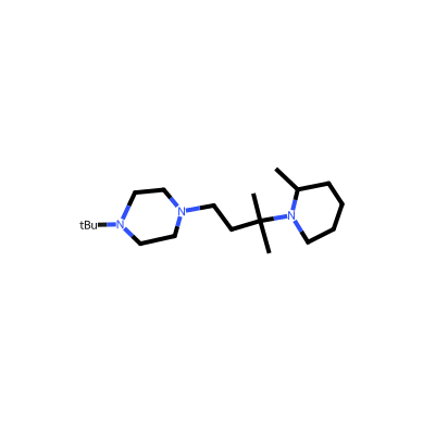 CC1CCCCN1C(C)(C)CCN1CCN(C(C)(C)C)CC1